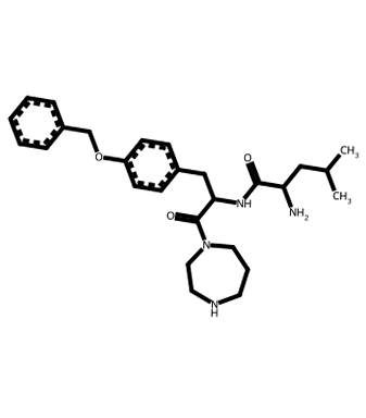 CC(C)CC(N)C(=O)NC(Cc1ccc(OCc2ccccc2)cc1)C(=O)N1CCCNCC1